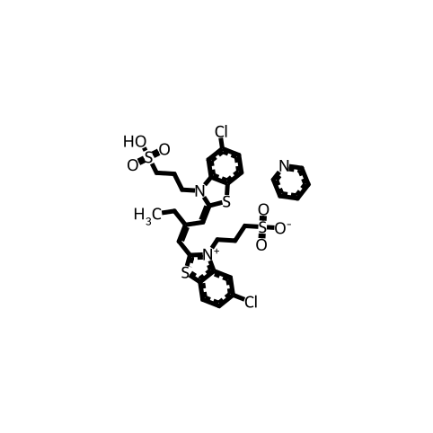 CCC(=Cc1sc2ccc(Cl)cc2[n+]1CCCS(=O)(=O)[O-])C=C1Sc2ccc(Cl)cc2N1CCCS(=O)(=O)O.c1ccncc1